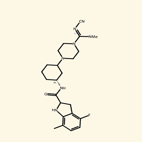 CN/C(=N\C#N)N1CCN(C2CCC[C@@H](NC(=O)C3Cc4c(F)ccc(C)c4N3)C2)CC1